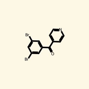 O=C(c1ccncc1)c1cc(Br)cc(Br)c1